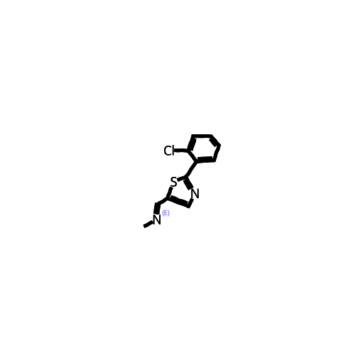 C/N=C/c1cnc(-c2ccccc2Cl)s1